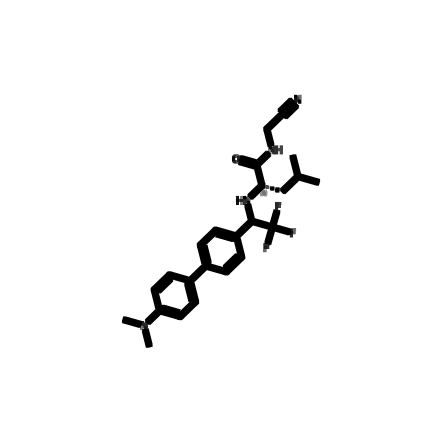 CC(C)C[C@H](NC(c1ccc(-c2ccc(N(C)C)cc2)cc1)C(F)(F)F)C(=O)NCC#N